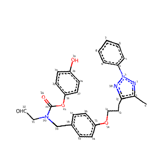 Cc1nn(-c2ccccc2)nc1CCOc1ccc(CN(CC=O)C(=O)Oc2ccc(O)cc2)cc1